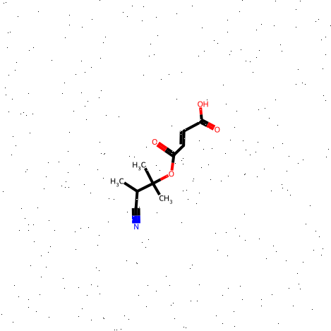 CC(C#N)C(C)(C)OC(=O)C=CC(=O)O